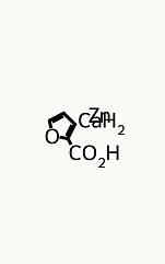 O=C(O)c1ccco1.[CaH2].[Zn]